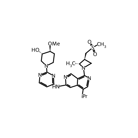 CO[C@H]1CCN(c2nccc(Nc3cc4c(C(C)C)cnc(N5C[C@H](CS(C)(=O)=O)[C@H]5C)c4cn3)n2)C[C@@H]1O